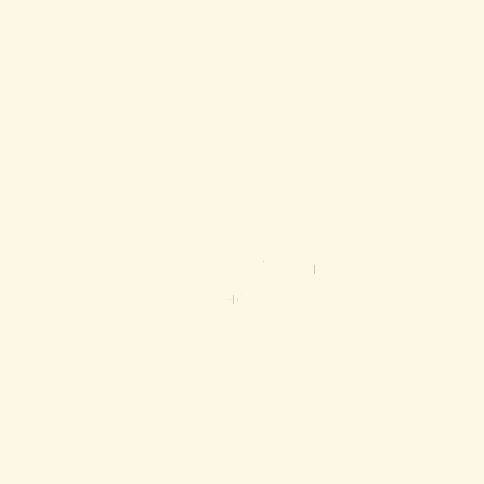 C=C(O)c1cccc2c1CCC2